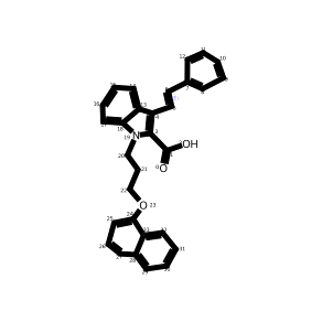 O=C(O)c1c(/C=C/c2ccccc2)c2ccccc2n1CCCOc1cccc2ccccc12